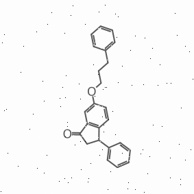 O=C1CC(c2ccccc2)c2ccc(OCCCc3ccccc3)cc21